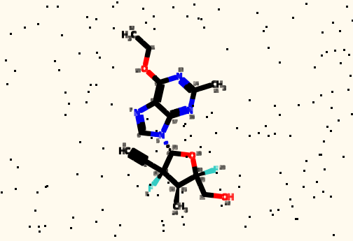 C#C[C@]1(F)[C@H](n2cnc3c(OCC)nc(C)nc32)O[C@](F)(CO)[C@H]1C